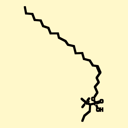 CCCCCCCCCCCCCCCCCC/C=C\CCCCOP(=O)(O)C(CCC)[N+](C)(C)C